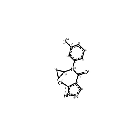 O=C(c1cn[nH]c1Cl)N(c1cccc(Cl)c1)C1CC1